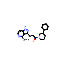 COc1nccc2[nH]nc(CCC(=O)N3CCCC(c4ccccc4)C3)c12